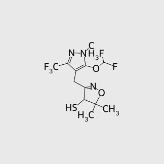 Cn1nc(C(F)(F)F)c(CC2=NOC(C)(C)C2S)c1OC(F)F